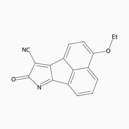 CCOc1ccc2c3c(cccc13)C1=NC(=O)C(C#N)=C12